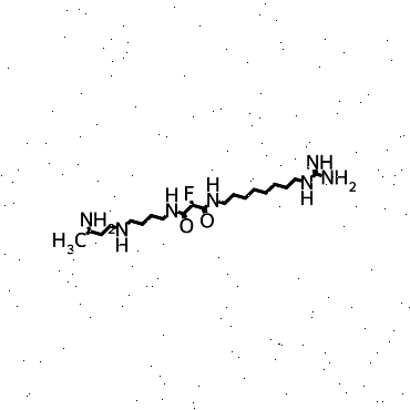 CC(N)CCNCCCCNC(=O)C(F)C(=O)NCCCCCCCCNC(=N)N